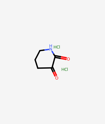 Cl.Cl.O=C1CCCNC1=O